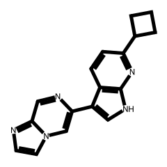 c1cn2cc(-c3c[nH]c4nc(C5CCC5)ccc34)ncc2n1